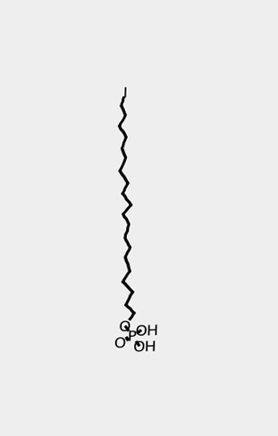 O=P(O)(O)OCCCCCCCCCCCCCCCCCCCCI